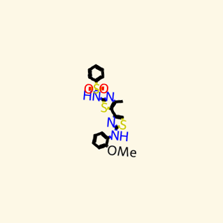 COc1ccccc1Nc1nc(-c2sc(NS(=O)(=O)c3ccccc3)nc2C)cs1